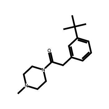 CN1CCN(C(=O)Cc2cccc(C(C)(C)C)c2)CC1